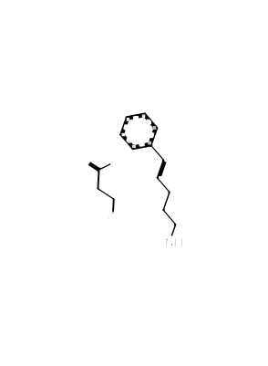 NCCCC=Cc1ccccc1.O=C(Cl)CCO